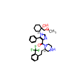 COC[C@]1(O)CCCC[C@H]1n1cnc(C(=O)N2CCNC[C@H]2CCc2ccccc2C(F)(F)F)c1-c1ccccc1